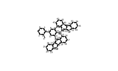 Cc1ccccc1-c1cc2c3c(c1)-n1c4c(cccc4c4sc5ccccc5c41)B3n1c3sc4ccccc4c3c3cccc-2c31